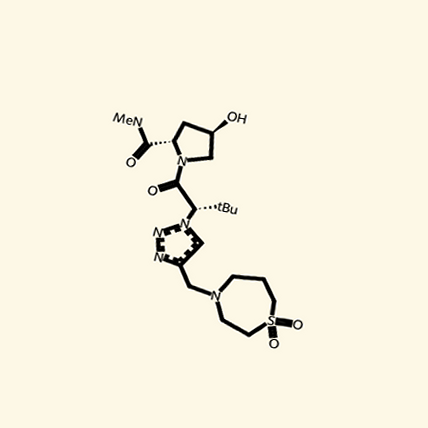 CNC(=O)[C@@H]1C[C@@H](O)CN1C(=O)[C@@H](n1cc(CN2CCCS(=O)(=O)CC2)nn1)C(C)(C)C